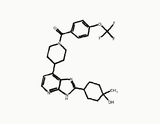 CC1(O)CCC(c2nc3c(C4CCN(C(=O)c5ccc(OC(F)(F)F)cc5)CC4)ccnc3[nH]2)CC1